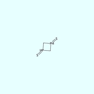 S=[PH]1C[PH](=S)C1